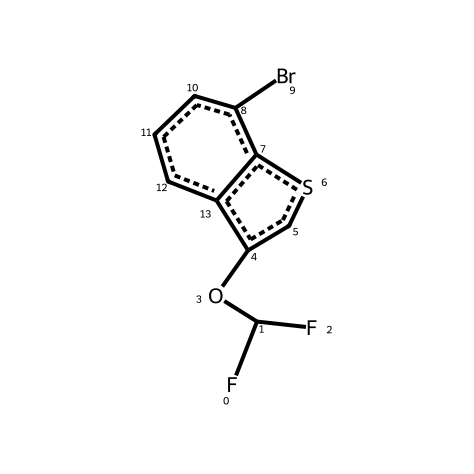 FC(F)Oc1csc2c(Br)cccc12